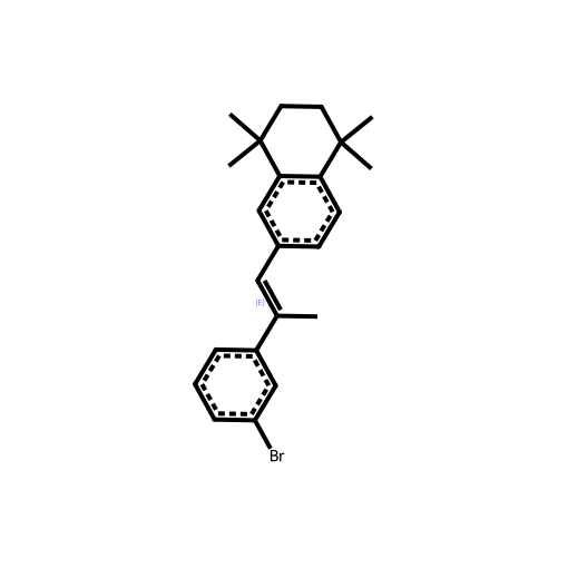 C/C(=C\c1ccc2c(c1)C(C)(C)CCC2(C)C)c1cccc(Br)c1